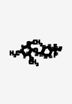 COc1cc(C)cc(OC)c1OCc1ccc(C(F)(F)F)cc1